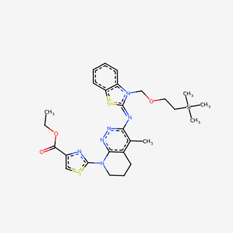 CCOC(=O)c1csc(N2CCCc3c2nnc(/N=c2\sc4ccccc4n2COCC[Si](C)(C)C)c3C)n1